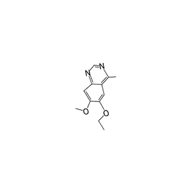 CCOc1cc2c(C)ncnc2cc1OC